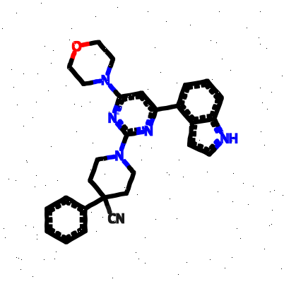 N#CC1(c2ccccc2)CCN(c2nc(-c3cccc4[nH]ccc34)cc(N3CCOCC3)n2)CC1